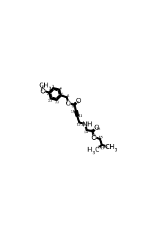 COc1ccc(COC(=O)C#CCNCC(=O)OCC(C)C)cc1